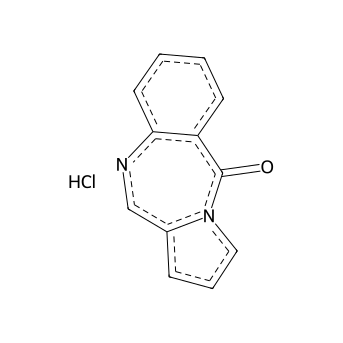 Cl.O=c1c2ccccc2ncc2cccn12